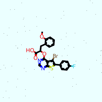 COc1ccccc1CC(Oc1ncnc2sc(-c3ccc(F)cc3)c(Br)c12)C(=O)O